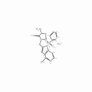 Cl.N[C@H]1CCN(Cc2cc3c(Cl)nccc3n2S(=O)(=O)c2ccccc2)C1=O